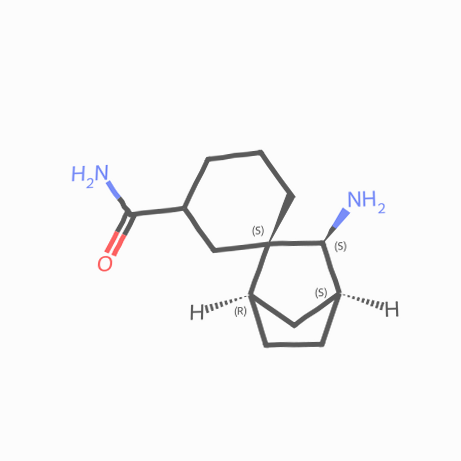 NC(=O)C1CCC[C@]2(C1)[C@@H]1CC[C@@H](C1)[C@@H]2N